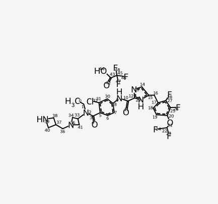 CCN(C(=O)c1ccc(NC(=O)c2ncc(Cc3ccc(OC(F)F)c(F)c3F)[nH]2)cc1Cl)C1CN(CC2CNC2)C1.O=C(O)C(F)(F)F